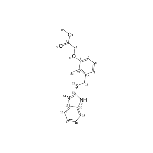 COC(=O)COc1cccc(CSc2nc3ccccc3[nH]2)c1C